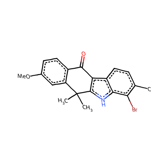 COc1ccc2c(c1)C(C)(C)c1[nH]c3c(Br)c(C#N)ccc3c1C2=O